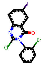 O=c1c2cc(I)ccc2nc(Cl)n1-c1ccccc1Br